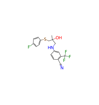 CC(O)(CNc1ccc(C#N)c(C(F)(F)F)c1)CSc1ccc(F)cc1